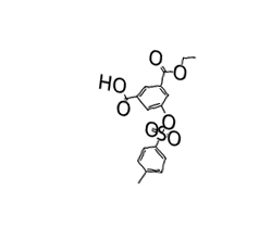 CCOC(=O)c1cc(OS(=O)(=O)c2ccc(C)cc2)cc(C(=O)O)c1